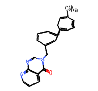 COc1cccc(-c2cccc(Cn3cnc4ncccc4c3=O)c2)c1